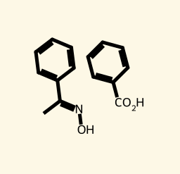 CC(=NO)c1ccccc1.O=C(O)c1ccccc1